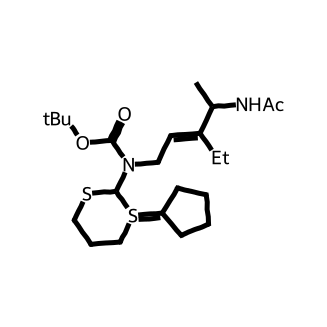 CCC(=CCN(C(=O)OC(C)(C)C)C1SCCCS1=C1CCCC1)C(C)NC(C)=O